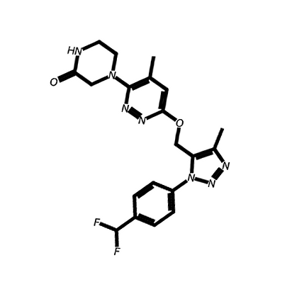 Cc1cc(OCc2c(C)nnn2-c2ccc(C(F)F)cc2)nnc1N1CCNC(=O)C1